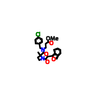 COC(=O)CCN(Cc1ccc(Cl)cc1)C(=O)C1(C)CCN1C(=O)Cc1occ2ccccc12